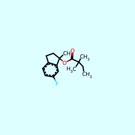 CCC(C)(C)C(=O)OC1(C)CCc2ccc(F)cc21